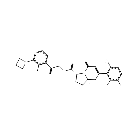 Nc1ccc(Cl)c(F)c1C1=CC(=O)N2[C@H](CC[C@H]2C(=O)OCC(=O)c2ccnc(N3CCC3)c2F)C1